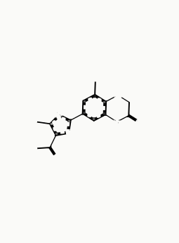 CC(=O)c1sc(-c2cc(C)c3c(c2)NC(=O)CO3)nc1C